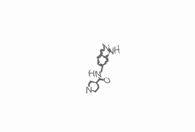 CN1CCC(C(=O)NCc2ccc3cn[nH]c3c2)CC1